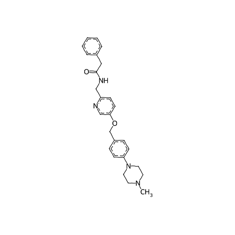 CN1CCN(c2ccc(COc3ccc(CNC(=O)Cc4ccccc4)nc3)cc2)CC1